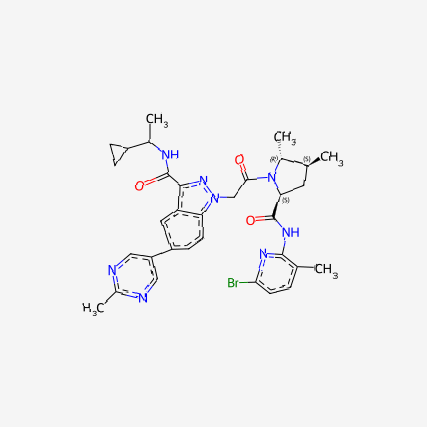 Cc1ncc(-c2ccc3c(c2)c(C(=O)NC(C)C2CC2)nn3CC(=O)N2[C@H](C)[C@@H](C)C[C@H]2C(=O)Nc2nc(Br)ccc2C)cn1